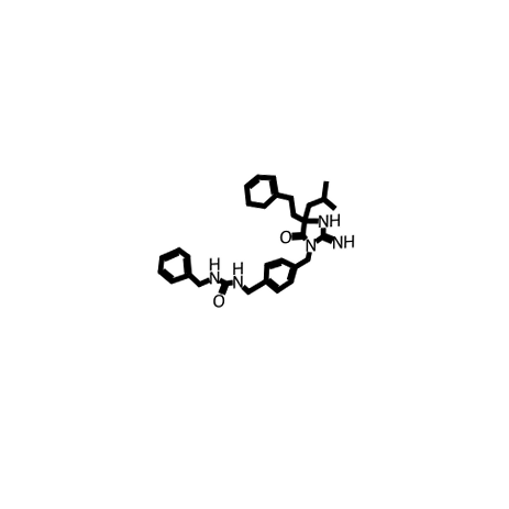 CC(C)CC1(CCC2=CC=CCC2)NC(=N)N(Cc2ccc(CNC(=O)NCc3ccccc3)cc2)C1=O